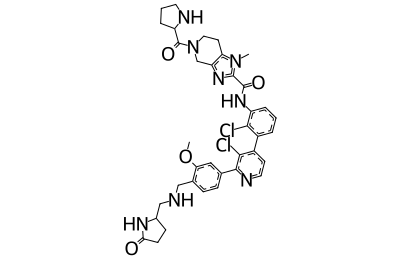 COc1cc(-c2nccc(-c3cccc(NC(=O)c4nc5c(n4C)CCN(C(=O)C4CCCN4)C5)c3Cl)c2Cl)ccc1CNCC1CCC(=O)N1